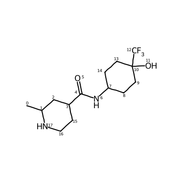 CC1CC(C(=O)NC2CCC(O)(C(F)(F)F)CC2)CCN1